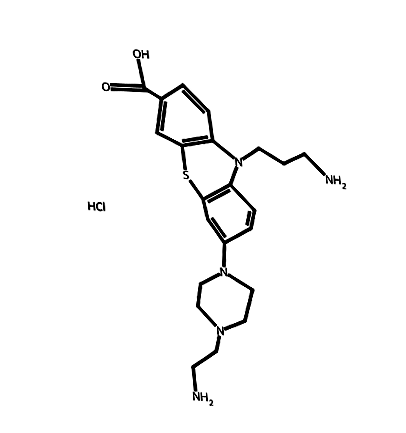 Cl.NCCCN1c2ccc(C(=O)O)cc2Sc2cc(N3CCN(CCN)CC3)ccc21